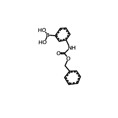 O=C(Nc1cccc(B(O)O)c1)OCc1ccccc1